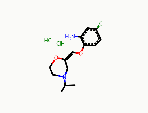 CC(C)N1CCOC(=COc2ccc(Cl)cc2N)C1.Cl.Cl